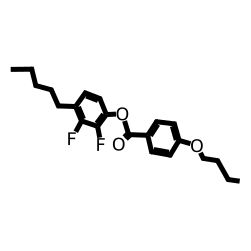 CCCCCc1ccc(OC(=O)c2ccc(OCCCC)cc2)c(F)c1F